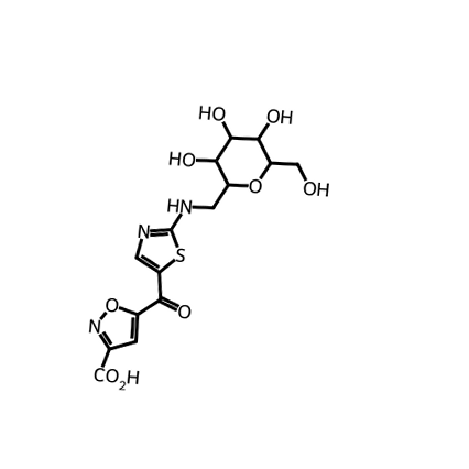 O=C(O)c1cc(C(=O)c2cnc(NCC3OC(CO)C(O)C(O)C3O)s2)on1